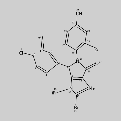 C=C/C=C(\C=C/CCl)C1c2c(nc(Br)n2C(C)C)C(=O)N1c1ccc(C#N)cc1C